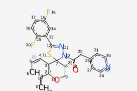 C=CC1=C(/C=C\C)C2(CCO1)SC(c1cc(F)ccc1F)=NN2C(=O)Cc1ccncc1